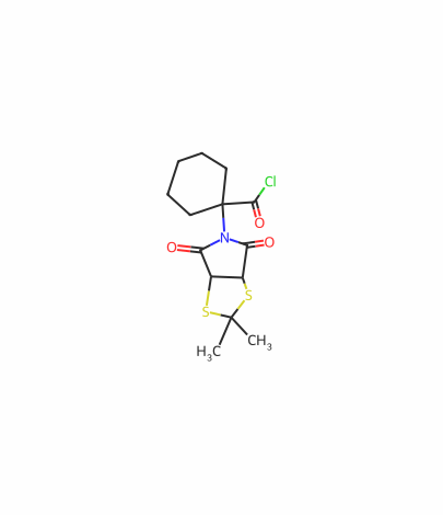 CC1(C)SC2C(=O)N(C3(C(=O)Cl)CCCCC3)C(=O)C2S1